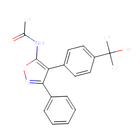 CC(C)C(=O)Nc1onc(-c2ccccc2)c1-c1ccc(C(O)(C(F)(F)F)C(F)(F)F)cc1